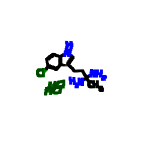 CC(N)(N)CCc1c[nH]c2ccc(Cl)cc12.Cl.Cl